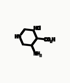 Cl.NC1CNCCC1C(=O)O